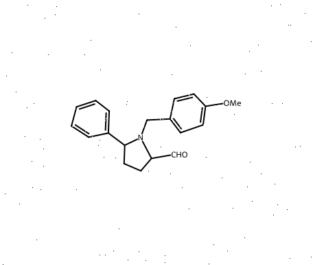 COc1ccc(CN2C(C=O)CCC2c2ccccc2)cc1